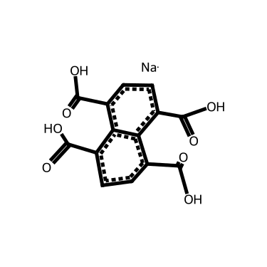 O=C(O)c1ccc(C(=O)O)c2c(C(=O)O)ccc(C(=O)O)c12.[Na]